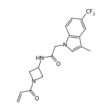 C=CC(=O)N1CC(NC(=O)Cn2cc(C)c3cc(C(F)(F)F)ccc32)C1